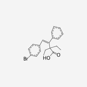 CCC(CC)(C(=O)O)C(=Cc1ccc(Br)cc1)c1ccccc1